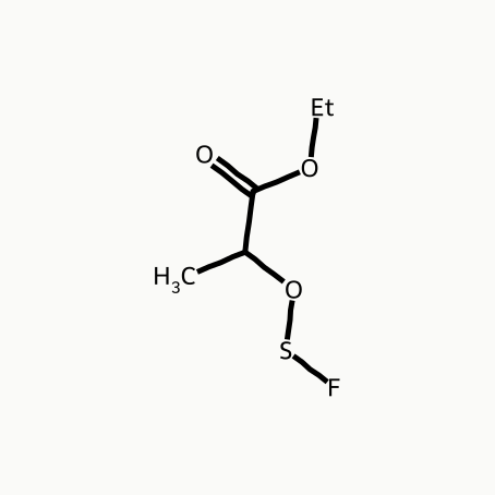 CCOC(=O)C(C)OSF